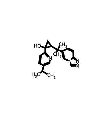 CC(C)c1ccc(C2(O)CC2C(C)(C)c2ccc3nncn3c2)nc1